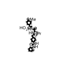 COc1ccc(C(CNC(=O)[C@H](CC(C)C)NC(=O)Cc2ccc(NC(=O)Nc3ccccn3)cc2)C(=O)O)cc1